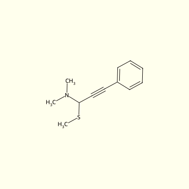 CSC(C#Cc1ccccc1)N(C)C